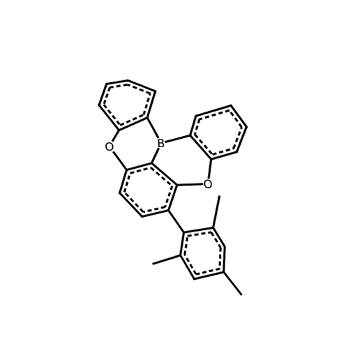 Cc1cc(C)c(-c2ccc3c4c2Oc2ccccc2B4c2ccccc2O3)c(C)c1